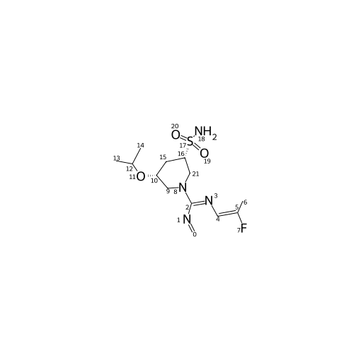 C=N/C(=N\C=C(/C)F)N1C[C@H](OC(C)C)C[C@H](S(N)(=O)=O)C1